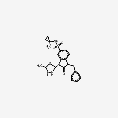 CC1NNC(N2C(=O)C(Cc3ccccc3)c3ccc(S(=O)(=O)NC4(C)CC4)cc32)S1